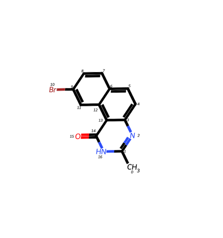 Cc1nc2ccc3ccc(Br)cc3c2c(=O)[nH]1